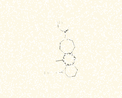 CCOC(=O)N1CCCc2cc3c(c(C)c21)CCN(C(=O)OC(C)(C)C)CC3